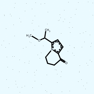 COC(C)c1ccc2n1CCCC2=O